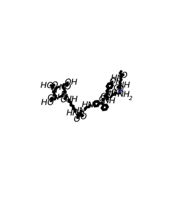 CCC(=O)NCCNC(=O)/N=C(/N)NCCC[C@@H](NC(=O)[C@@H](c1ccccc1)c1ccc(NCCCNc2c(NCCCCCCNC(=O)CN3CCN(CC(=O)O)CCN(CC(=O)O)CCN(CC(=O)O)CC3)c(=O)c2=O)cc1)C(=O)NCc1ccc(O)cc1